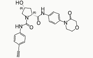 C#Cc1ccc(NC(=O)N2C[C@H](O)C[C@@H]2C(=O)Nc2ccc(N3CCOCC3=O)cc2)cc1